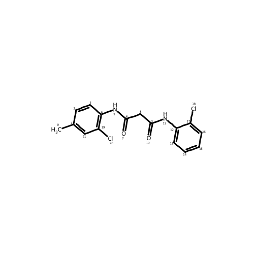 Cc1ccc(NC(=O)CC(=O)Nc2ccccc2Cl)c(Cl)c1